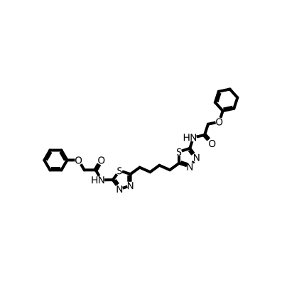 O=C(COC1=CCCC=C1)Nc1nnc(CCCCc2nnc(NC(=O)COc3ccccc3)s2)s1